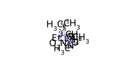 CCC(=C/C=C(C)C)/C(C)=C(/C(=N\C)S(C)(=O)=O)[N+](=O)[O-]